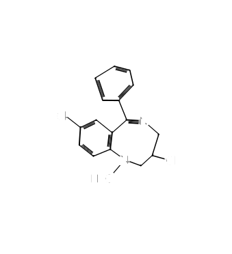 CN1CC(Cl)C/N=C(/c2ccccc2)c2cc(Cl)ccc21